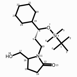 CC(C)(C)[Si](C)(C)O[C@H](CCN1C(=O)CCC1CO)C1CCCCC1